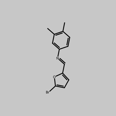 Cc1ccc(/N=C/c2ccc(Br)o2)cc1C